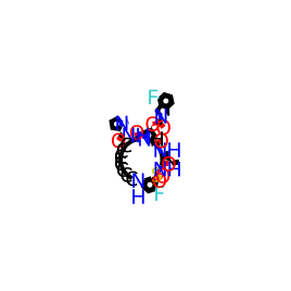 C=C[C@@H]1C[C@@]12NC(=O)[C@@H]1C[C@@H](OC(=O)N3Cc4cccc(F)c4C3)CN1C(=O)[C@@H](NC(=O)[C@@H]1CCCN1C)CCCCCCCNc1ccc(F)cc1S(=O)(=O)NC2=O